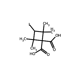 CC1(C)C(I)C(C)(C)C1(C(=O)O)C(=O)O